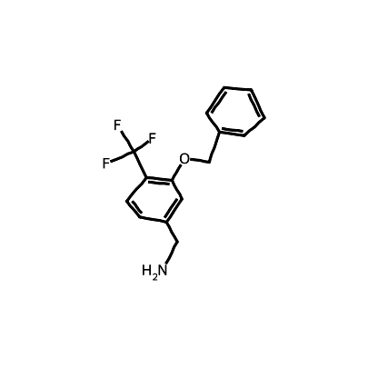 NCc1ccc(C(F)(F)F)c(OCc2ccccc2)c1